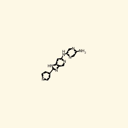 Nc1cnc(Nc2cc3[nH]c(-c4ccncc4)nc3cn2)cn1